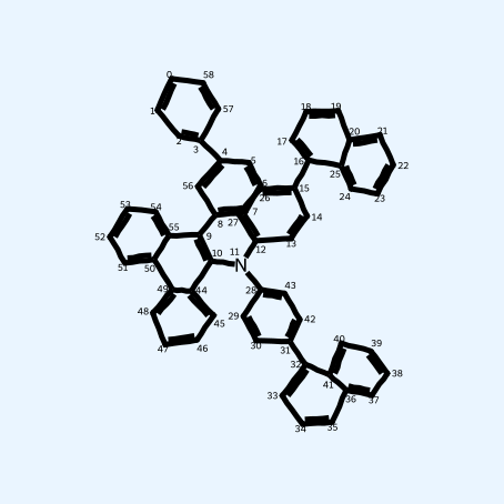 c1ccc(-c2cccc(-c3c(N(c4ccc(-c5cccc6ccccc56)cc4)c4ccc(-c5cccc6ccccc56)cc4)c4ccccc4c4ccccc34)c2)cc1